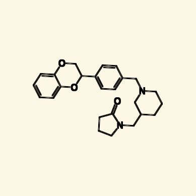 O=C1CCCN1CC1CCCN(Cc2ccc(C3COc4ccccc4O3)cc2)C1